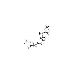 C/C(=N\OC(C)(C)C(=O)OC(C)(C)C)c1csc(NC(=O)OC(C)(C)C)n1